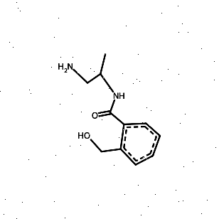 CC(CN)NC(=O)c1ccccc1CO